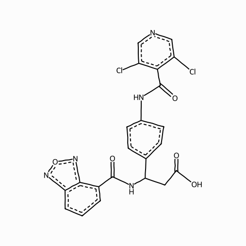 O=C(O)CC(NC(=O)c1cccc2nonc12)c1ccc(NC(=O)c2c(Cl)cncc2Cl)cc1